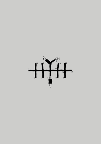 [C-]#[N+]C(C(=O)O)(C(C)(C)C(C)(C)C)C(C)(C)C(C)(C)C